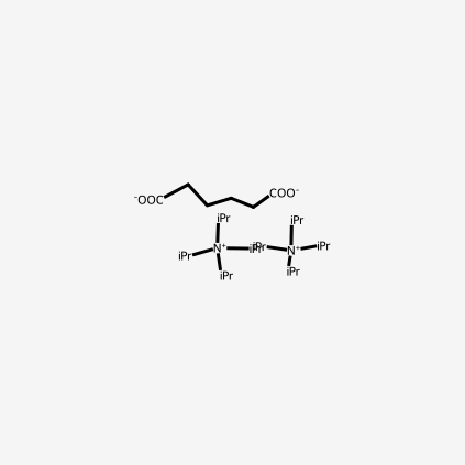 CC(C)[N+](C(C)C)(C(C)C)C(C)C.CC(C)[N+](C(C)C)(C(C)C)C(C)C.O=C([O-])CCCCC(=O)[O-]